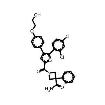 NC(=O)C1(c2ccccc2)CN(C(=O)c2cc(-c3ccc(OCCO)cc3)c(-c3ccc(Cl)cc3Cl)s2)C1